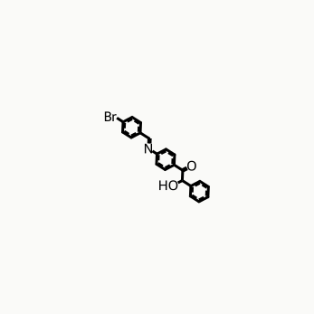 O=C(c1ccc(N=Cc2ccc(Br)cc2)cc1)C(O)c1ccccc1